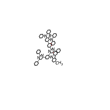 Cc1ccc2c(c1)c1ccccc1n2-c1ccc(-c2cc(-c3ccccc3)nc(-c3ccccc3)n2)cc1-c1cc(-c2ccccc2)nc(-c2ccc(-c3ccc4c5c3N(c3ccccc3)c3ccccc3B5c3ccccc3N4c3ccccc3)cc2)n1